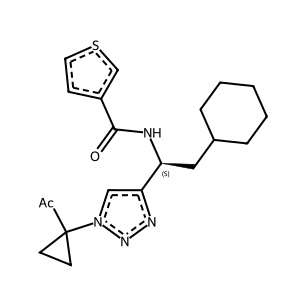 CC(=O)C1(n2cc([C@H](CC3CCCCC3)NC(=O)c3ccsc3)nn2)CC1